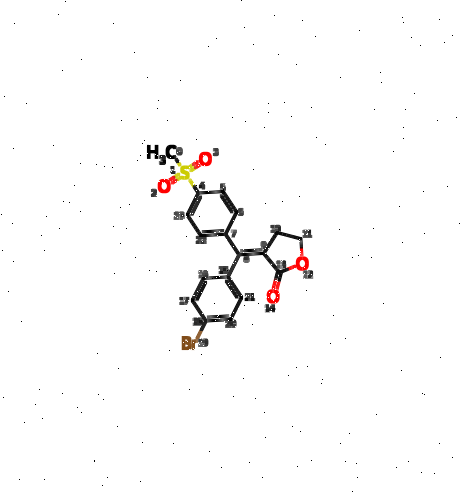 CS(=O)(=O)c1ccc(/C(=C2\CCOC2=O)c2ccc(Br)cc2)cc1